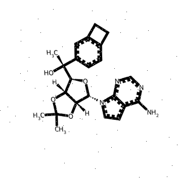 CC1(C)O[C@@H]2[C@H](O1)[C@@H]([C@](C)(O)c1ccc3c(c1)CC3)O[C@@H]2n1ccc2c(N)ncnc21